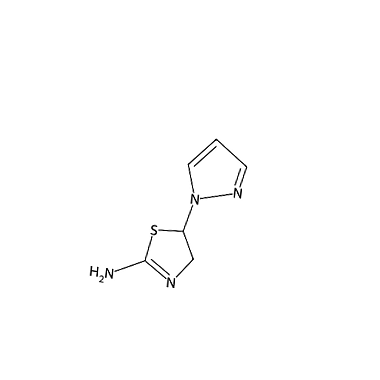 NC1=NCC(n2cccn2)S1